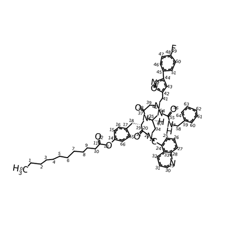 CCCCCCCCCCCC(=O)Oc1ccc(C[C@H]2C(=O)N(Cc3cccc4ncccc34)C[C@H]3N2C(=O)CN(Cc2cc(-c4ccc(F)cc4)no2)N3C(=O)NCc2ccccc2)cc1